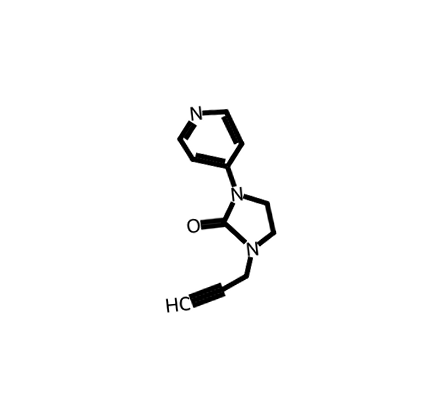 C#CCN1CCN(c2ccncc2)C1=O